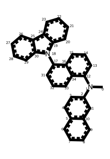 CN(c1ccc2ccccc2c1)c1cccc2c(-n3c4ccccc4c4ccccc43)cccc12